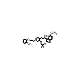 COc1ccc2nccc([C@@H](O)CCC3CCN(CCCSc4ccccc4C)CC3CCC(=O)O)c2c1